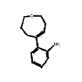 Nc1ccccc1/C1=C/CCCCCC1